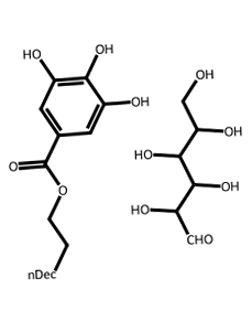 CCCCCCCCCCCCOC(=O)c1cc(O)c(O)c(O)c1.O=CC(O)C(O)C(O)C(O)CO